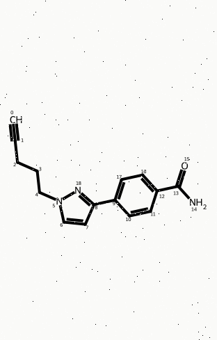 C#CCCCn1ccc(-c2ccc(C(N)=O)cc2)n1